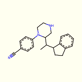 CC(C1CCc2ccccc21)C1CNCCN1c1ccc(C#N)cc1